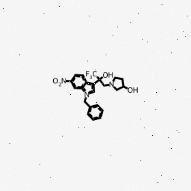 O=[N+]([O-])c1ccc2c(C(O)(CN3CCC(O)C3)C(F)(F)F)cn(Cc3ccccc3)c2c1